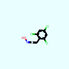 ON=C=Cc1c(Cl)cc(Cl)cc1Cl